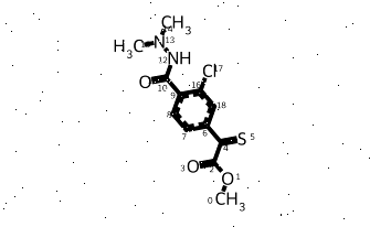 COC(=O)C(=S)c1ccc(C(=O)NN(C)C)c(Cl)c1